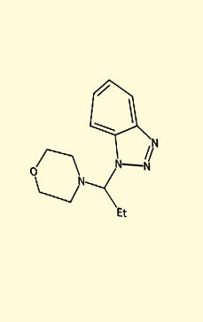 CCC(N1CCOCC1)n1nnc2ccccc21